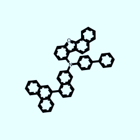 c1ccc(-c2ccc(N(c3ccc4c(-c5cc6ccccc6c6ccccc56)cccc4c3)c3cccc4oc5c6ccccc6ccc5c34)cc2)cc1